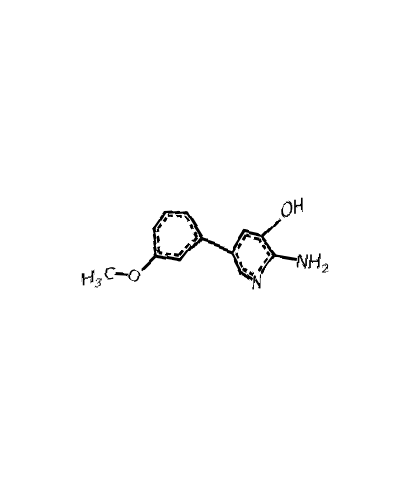 COc1cccc(-c2cnc(N)c(O)c2)c1